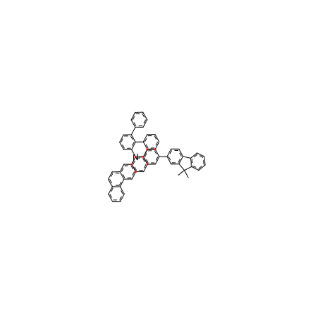 CC1(C)c2ccccc2-c2ccc(-c3ccc(N(c4ccc5c(ccc6ccccc65)c4)c4cccc(-c5ccccc5)c4-c4ccccc4-c4ccccc4)cc3)cc21